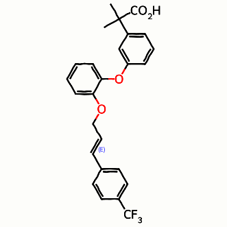 CC(C)(C(=O)O)c1cccc(Oc2ccccc2OC/C=C/c2ccc(C(F)(F)F)cc2)c1